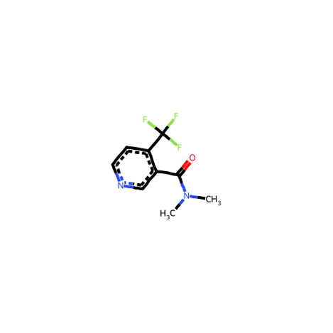 CN(C)C(=O)c1cnccc1C(F)(F)F